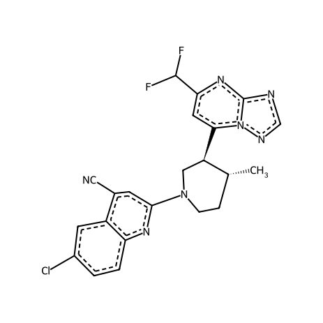 C[C@@H]1CCN(c2cc(C#N)c3cc(Cl)ccc3n2)C[C@H]1c1cc(C(F)F)nc2ncnn12